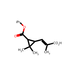 C/C(=C\C1C(C(=O)OC(C)C)C1(C)C)C(=O)O